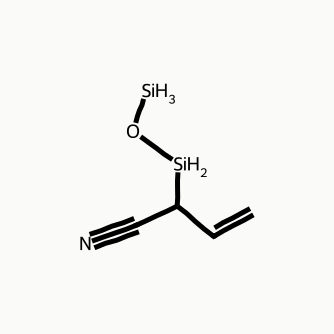 C=CC(C#N)[SiH2]O[SiH3]